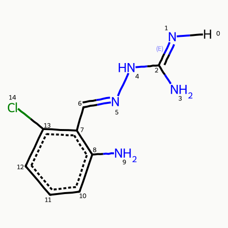 [H]/N=C(\N)NN=Cc1c(N)cccc1Cl